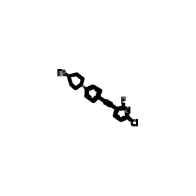 CC[C@H]1CC[C@H](c2ccc(C#Cc3ccc(Cl)nc3F)cc2)CC1